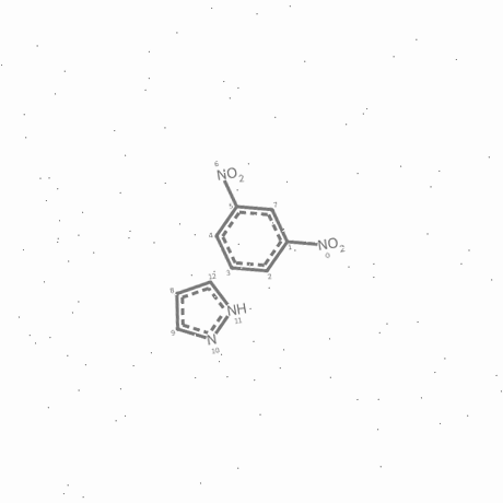 O=[N+]([O-])c1cccc([N+](=O)[O-])c1.c1cn[nH]c1